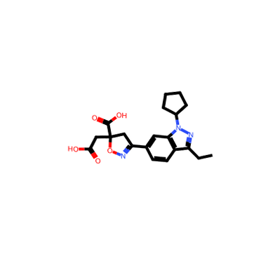 CCc1nn(C2CCCC2)c2cc(C3=NOC(CC(=O)O)(C(=O)O)C3)ccc12